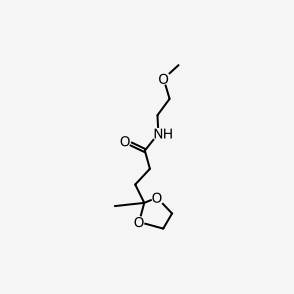 COCCNC(=O)CCC1(C)OCCO1